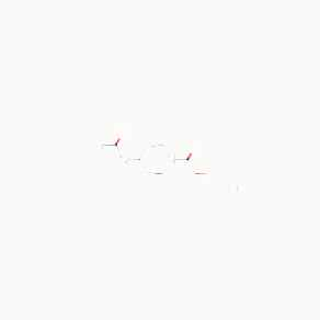 CC(C)(C)OCC(=O)N1CCC(NC(=O)C(C)(C)C)CC1